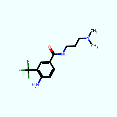 CN(C)CCCNC(=O)c1ccc(N)c(C(F)(F)F)c1